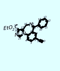 C#Cc1ccc2c(c1)C(c1ccccc1)=NCc1c(C(=O)OCC)ncn1-2